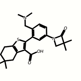 CN(C)Cc1ccc(N2CC(C)(C)C2=O)cc1-c1sc2c(c1C(=O)O)CC(C)(C)CC2